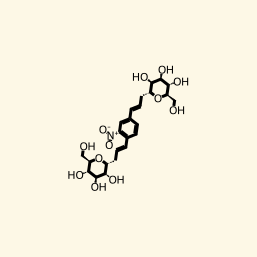 O=[N+]([O-])c1cc(/C=C/C[C@H]2O[C@H](CO)[C@@H](O)[C@H](O)[C@@H]2O)ccc1/C=C/C[C@H]1O[C@H](CO)[C@@H](O)[C@H](O)[C@H]1O